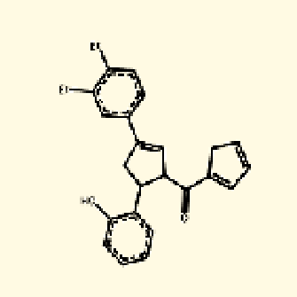 CCc1ccc(C2=CC(C(=O)C3=CC=CC3)C(c3ccccc3O)C2)cc1CC